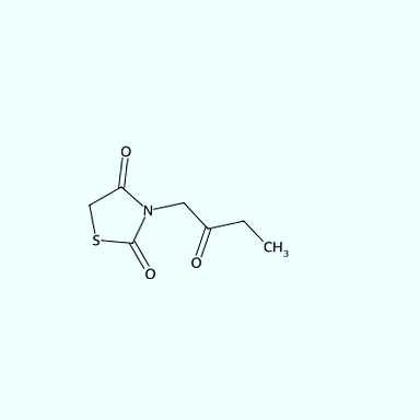 CCC(=O)CN1C(=O)CSC1=O